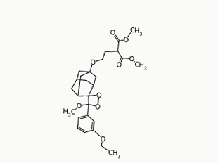 CCOc1cccc(C2(OC)OOC23C2CC4CC3CC(OCCC(C(=O)OC)C(=O)OC)(C4)C2)c1